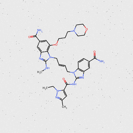 CCn1nc(C)cc1C(=O)Nc1nc2cc(C(N)=O)ccc2n1C/C=C/Cn1c(NC)nc2cc(C(N)=O)cc(OCCCN3CCOCC3)c21